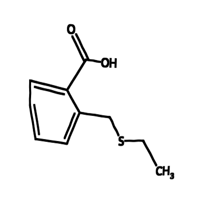 CCSCc1ccccc1C(=O)O